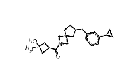 C[C@]1(O)C[C@@H](C(=O)N2CC3(CCC(Cc4cccc(C5CC5)c4)C3)C2)C1